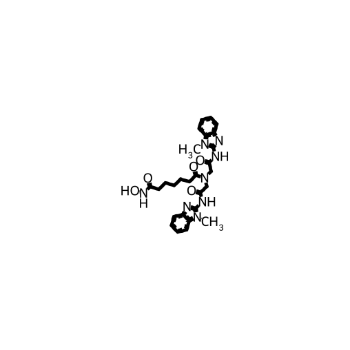 Cn1c(NC(=O)CN(CC(=O)Nc2nc3ccccc3n2C)C(=O)CCCCCC(=O)NO)nc2ccccc21